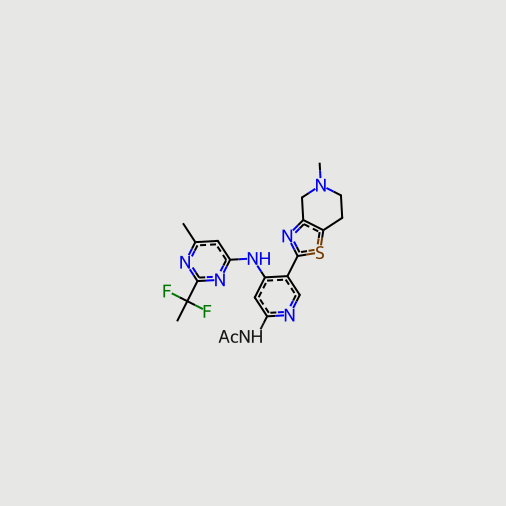 CC(=O)Nc1cc(Nc2cc(C)nc(C(C)(F)F)n2)c(-c2nc3c(s2)CCN(C)C3)cn1